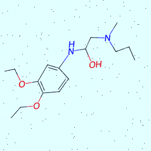 CCCN(C)CC(O)Nc1ccc(OCC)c(OCC)c1